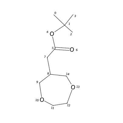 CC(C)(C)OC(=O)CC1COCCOC1